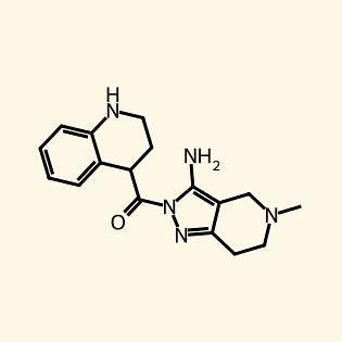 CN1CCc2nn(C(=O)C3CCNc4ccccc43)c(N)c2C1